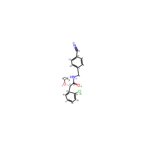 CO[C@H](C(=O)NCc1ccc(C#N)cc1)c1ccccc1Cl